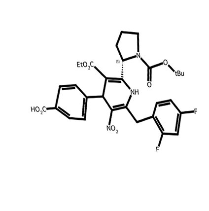 CCOC(=O)C1=C([C@@H]2CCCN2C(=O)OC(C)(C)C)NC(Cc2ccc(F)cc2F)=C([N+](=O)[O-])C1c1ccc(C(=O)O)cc1